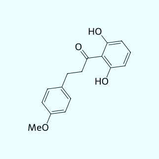 COc1ccc(CCC(=O)c2c(O)cccc2O)cc1